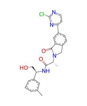 Cc1cccc([C@@H](CO)NC(=O)[C@@H](C)N2Cc3ccc(-c4ccnc(Cl)n4)cc3C2=O)c1